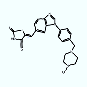 CN1CCN(Cc2ccc(-n3cnc4ccc(/C=C5\SC(=S)NC5=O)cc43)cc2)CC1